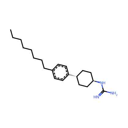 CCCCCCCCc1ccc([C@H]2CC[C@H](NC(=N)N)CC2)cc1